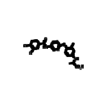 Cc1cc(NC(C)C(=O)O)ccc1Oc1ccc(NC(=O)c2ccc(Cl)c(Cl)c2)cn1